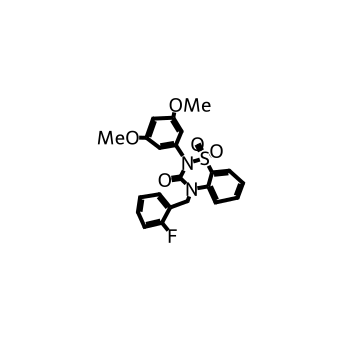 COc1cc(OC)cc(N2C(=O)N(Cc3ccccc3F)c3ccccc3S2(=O)=O)c1